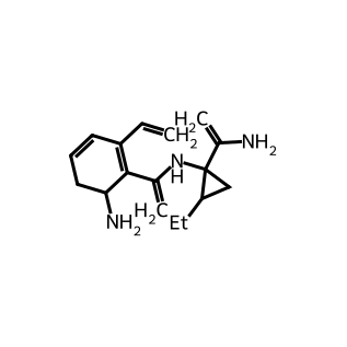 C=CC1=C(C(=C)NC2(C(=C)N)CC2CC)C(N)CC=C1